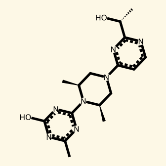 Cc1nc(O)nc(N2[C@H](C)CN(c3ccnc([C@@H](C)O)n3)C[C@@H]2C)n1